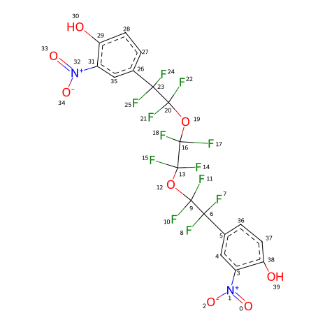 O=[N+]([O-])c1cc(C(F)(F)C(F)(F)OC(F)(F)C(F)(F)OC(F)(F)C(F)(F)c2ccc(O)c([N+](=O)[O-])c2)ccc1O